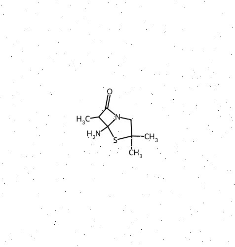 CC1C(=O)N2CC(C)(C)SC12N